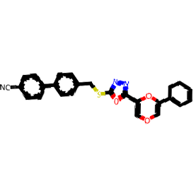 N#Cc1ccc(-c2ccc(CSc3nnc(C4=COC=C(C5=CC=CCC5)O4)o3)cc2)cc1